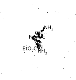 CCOC(=O)c1c(N)nn2ccc(N3C[C@@H](F)C[C@@H]3c3cc(F)cn(CCCN)c3=O)nc12